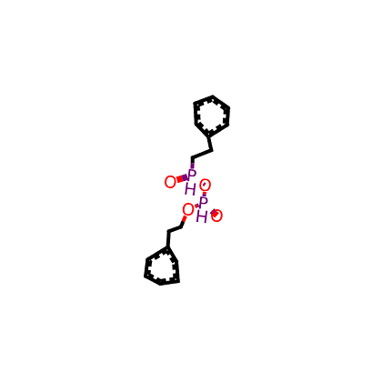 O=[PH](CCc1ccccc1)O[PH](=O)OCCc1ccccc1